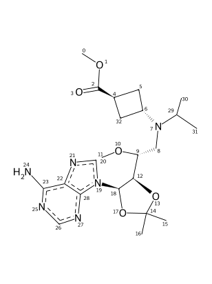 COC(=O)[C@H]1C[C@H](N(C[C@@H](OC)[C@H]2OC(C)(C)O[C@H]2n2cnc3c(N)ncnc32)C(C)C)C1